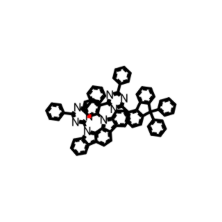 c1ccc(-c2nc(-c3ccccc3-n3c4ccccc4c4ccc5c6ccccc6n(-c6nc(-c7ccccc7)nc(-c7ccccc7)n6)c5c43)nc(-c3cccc4c3-c3ccccc3C4(c3ccccc3)c3ccccc3)n2)cc1